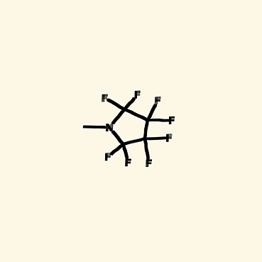 CN1C(F)(F)C(F)(F)C(F)(F)C1(F)F